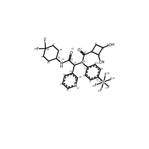 N#CC1C(O)CC1C(=O)N(c1ccc(S(F)(F)(F)(F)F)cc1)C(C(=O)NC1CCC(F)(F)CC1)c1cccnc1